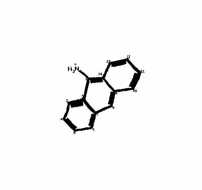 Nc1c2c[c]ccc2cc2ccccc12